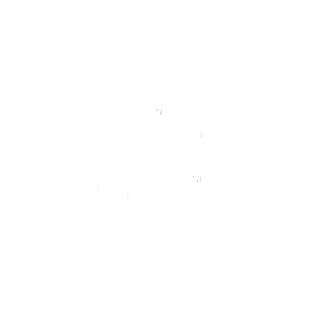 CC1C(N)=CC(C(F)(F)F)=CC1N